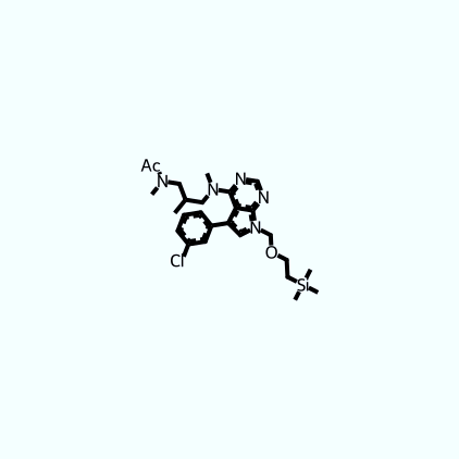 CC(=O)N(C)CC(C)CN(C)c1ncnc2c1c(-c1cccc(Cl)c1)cn2COCC[Si](C)(C)C